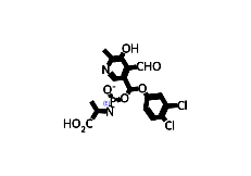 Cc1ncc(C(Oc2ccc(Cl)c(Cl)c2)O/[P+]([O-])=N/C(C)C(=O)O)c(C=O)c1O